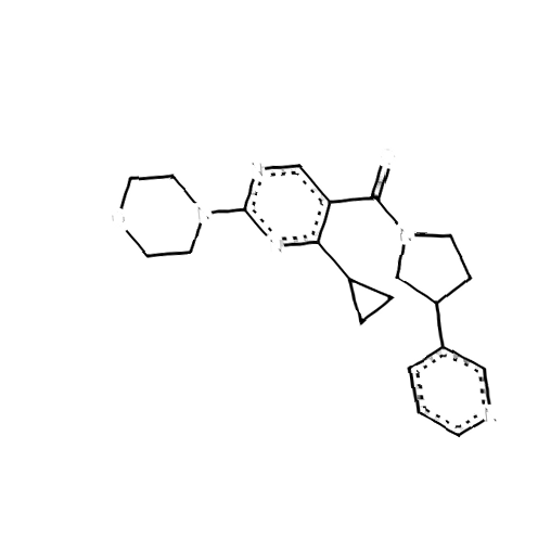 O=C(c1cnc(N2CCOCC2)nc1C1CC1)N1CCC(c2cccnc2)C1